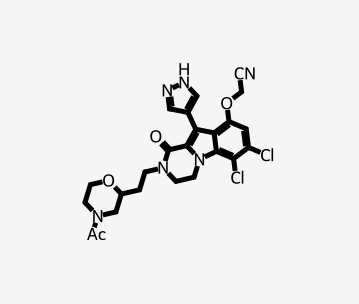 CC(=O)N1CCOC(CCN2CCn3c(c(-c4cn[nH]c4)c4c(OCC#N)cc(Cl)c(Cl)c43)C2=O)C1